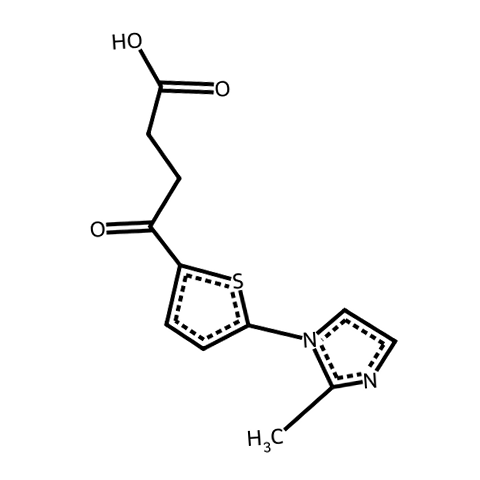 Cc1nccn1-c1ccc(C(=O)CCC(=O)O)s1